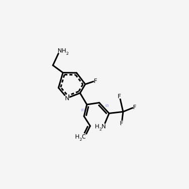 C=C/C=C(\C=C(/N)C(F)(F)F)c1ncc(CN)cc1F